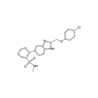 CNS(=O)(=O)c1ccccc1-c1ccc2[nH]c(COc3ccc(Cl)cc3)nc2c1